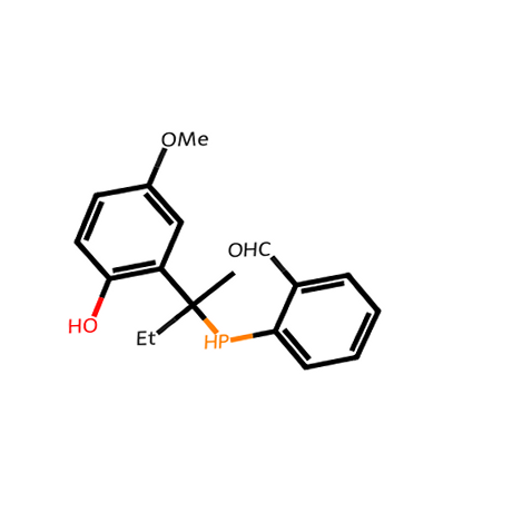 CCC(C)(Pc1ccccc1C=O)c1cc(OC)ccc1O